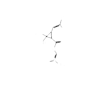 C[N+](C)=COC(=O)C1C(C=C(Cl)Cl)C1(C)C.[Cl-]